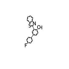 Fc1ccc(-c2ccc(OI)c(-c3nc4ccccc4s3)c2)cc1